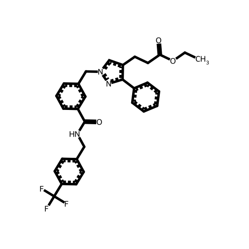 CCOC(=O)CCc1cn(Cc2cccc(C(=O)NCc3ccc(C(F)(F)F)cc3)c2)nc1-c1ccccc1